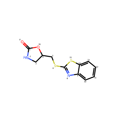 O=C1NCC(CSc2nc3ccccc3s2)O1